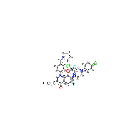 O=C(O)c1cn(-c2ccc(CN3CCCC3)cc2)c2c(OC(F)(F)Cl)c(N3CCN(c4ccc(Cl)cc4)CC3)c(F)cc2c1=O